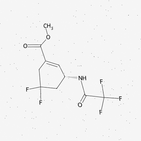 COC(=O)C1=C[C@H](NC(=O)C(F)(F)F)CC(F)(F)C1